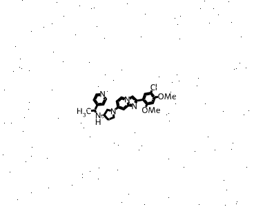 COc1cc(OC)c(-c2cn3ccc(N4CC[C@H](NC(C)c5ccncc5)C4)cc3n2)cc1Cl